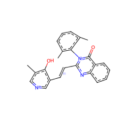 Cc1cncc(/C=C/c2nc3ccccc3c(=O)n2-c2c(C)cccc2C)c1O